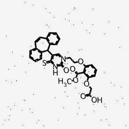 COC(=O)c1c(OCCn2cc(C3c4ccccc4C=Cc4ccccc43)c(=S)[nH]c2=O)cccc1OCC(=O)O